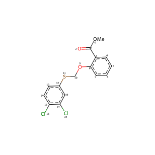 COC(=O)c1ccccc1OCSc1ccc(Cl)c(Cl)c1